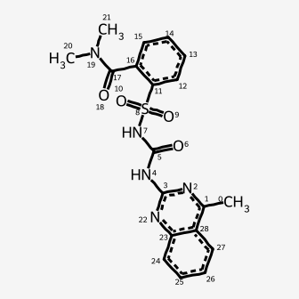 Cc1nc(NC(=O)NS(=O)(=O)c2ccccc2C(=O)N(C)C)nc2ccccc12